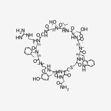 CC(C)[C@@H]1NC(=O)[C@H](CC(=O)O)NC(=O)[C@H](C)N(C)C(=O)[C@@H](Cc2c[nH]c3ccccc23)NC(=O)CSC[C@@H](C(=O)NCC(N)=O)NC(=O)[C@H](Cc2ccc(O)cc2)NC(=O)CN(C)C(=O)[C@H](Cc2ccccc2)N(C)C(=O)[C@H](CCCNC(=N)N)NC(=O)CNC(=O)[C@H](CO)N(C)C1=O